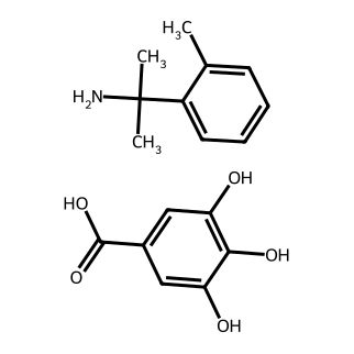 Cc1ccccc1C(C)(C)N.O=C(O)c1cc(O)c(O)c(O)c1